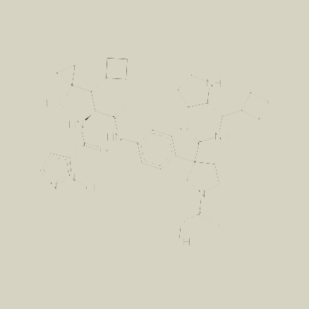 COC(=O)N1CCC(C(=O)NC(C2CCC2)C2CCCN2)(c2ccc(NC(=O)[C@@H](NC(=O)c3ccnn3C)C(C3CCC3)C3(C)CC3)cc2)C1